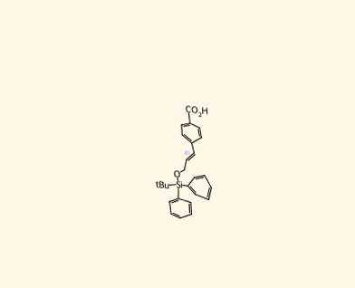 CC(C)(C)[Si](OC/C=C/c1ccc(C(=O)O)cc1)(c1ccccc1)c1ccccc1